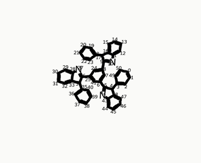 c1ccc(C2C(c3cc(C4=Nc5ccccc5C4c4ccccc4)cc(C4=Nc5ccccc5C4c4ccccc4)c3)=Nc3ccccc32)cc1